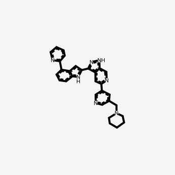 c1ccc(-c2cccc3[nH]c(-c4n[nH]c5cnc(-c6cncc(CN7CCCCC7)c6)cc45)cc23)nc1